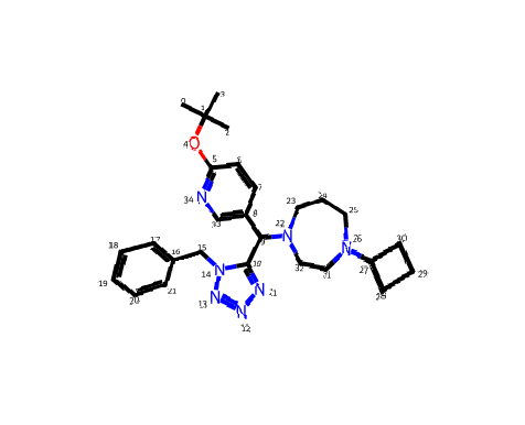 CC(C)(C)Oc1ccc(C(c2nnnn2Cc2ccccc2)N2CCCN(C3CCC3)CC2)cn1